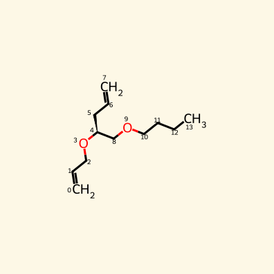 C=CCO[C@@H](CC=C)COCCCC